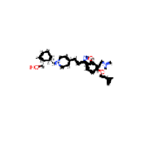 CN(C)Cc1c(OCC2CC2)ccc2c(CCC3CCN(C[C@H]4CCCC[C@H]4CO)CC3)noc12